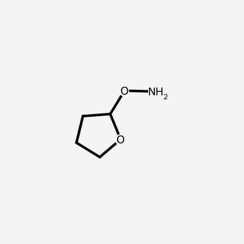 NOC1CCCO1